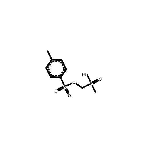 Cc1ccc(S(=O)(=O)OCP(C)(=O)C(C)(C)C)cc1